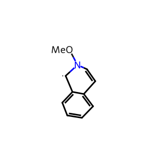 CON1[CH]c2ccccc2C=C1